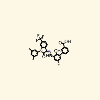 Cc1cc(C)cc(N2C(=O)/C(=N\Nc3cc(F)cc(-c4cccc(C(=O)O)c4)c3O)c3ccc(C(F)(F)F)cc32)c1